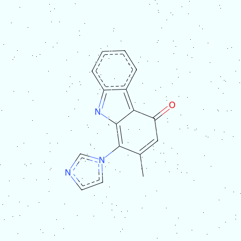 CC1=CC(=O)C2=c3ccccc3=NC2=C1n1ccnc1